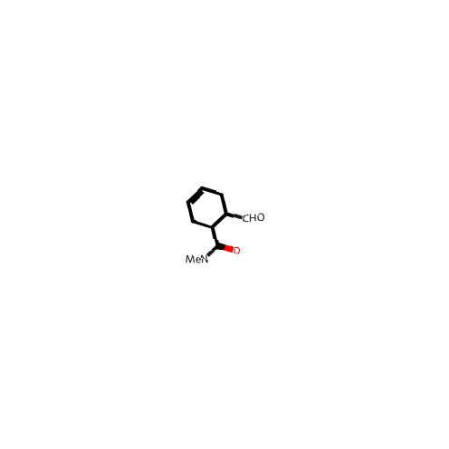 CNC(=O)C1CC=CCC1C=O